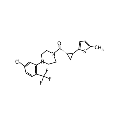 Cc1ccc(C2C[C@@H]2C(=O)N2CCN(c3cc(Cl)ccc3C(F)(F)F)CC2)s1